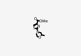 COC(=O)c1csc(N2CCOC(C)C2)n1